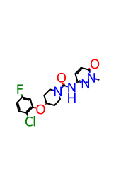 Cn1nc(NC(=O)N2CCC(Oc3cc(F)ccc3Cl)CC2)ccc1=O